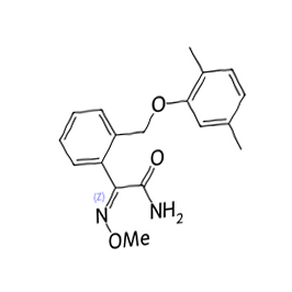 CO/N=C(\C(N)=O)c1ccccc1COc1cc(C)ccc1C